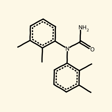 Cc1cccc(N(C(N)=O)c2cccc(C)c2C)c1C